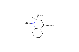 CCCCCCC1CC(C)(CCCCCC)N(CCCC)C2CCCCC12